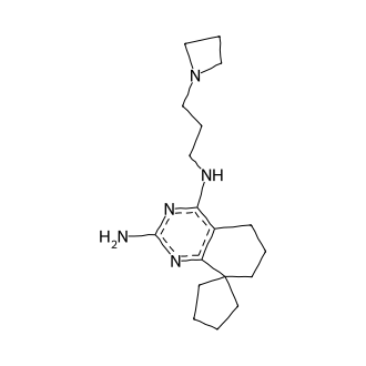 Nc1nc(NCCCN2CCC2)c2c(n1)C1(CCCC1)CCC2